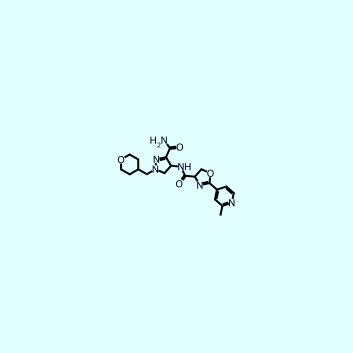 Cc1cc(C2=NC(C(=O)NC3CN(CC4CCOCC4)N=C3C(N)=O)CO2)ccn1